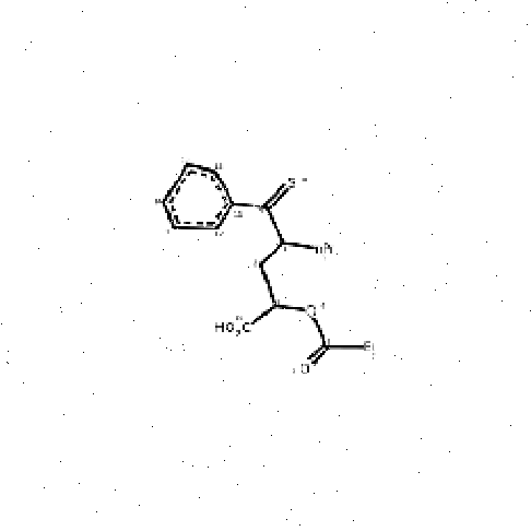 CCCC(CC(OC(=O)CC)C(=O)O)C(=S)c1ccccc1